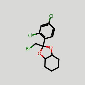 Clc1ccc(C2(CBr)OC3CCCCC3O2)c(Cl)c1